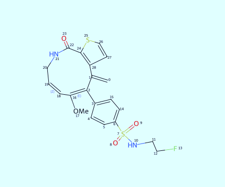 C=C1/C(c2ccc(S(=O)(=O)NCCF)cc2)=C(OC)\C=C/CNC(=O)c2sccc21